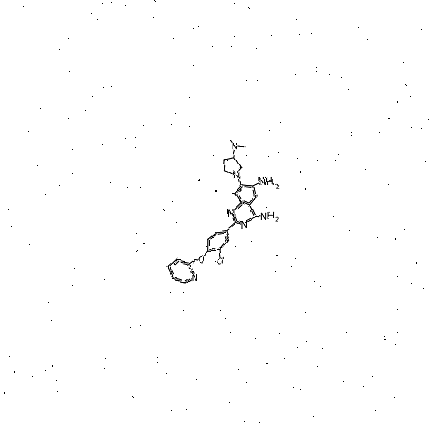 CN(C)C1CCN(c2cc3nc(-c4ccc(OCc5ccccn5)c(Cl)c4)nc(N)c3cc2N)C1